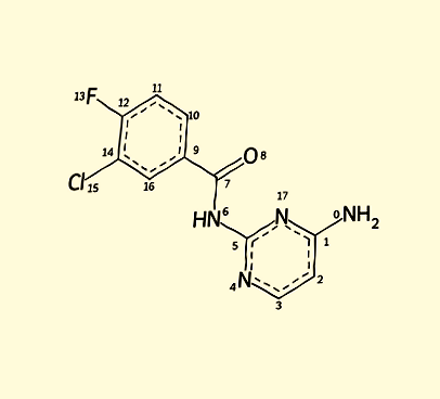 Nc1ccnc(NC(=O)c2ccc(F)c(Cl)c2)n1